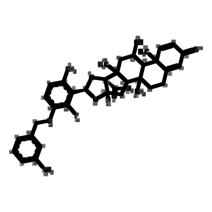 CC(=O)[C@@]12O[C@H](c3c(C)ccc(OCc4cccc(N)c4)c3F)O[C@@H]1CC1C3(N)CCC4=CC(=O)C=CC4(C)C3C(O)CC12C